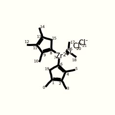 CC1=C(C)C(C)=[C]([Zr+2]([C]2=C(C)C(C)=C(C)C2)=[Si](C)C)C1.[Cl-].[Cl-]